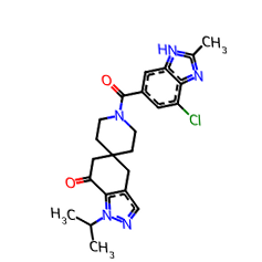 Cc1nc2c(Cl)cc(C(=O)N3CCC4(CC3)CC(=O)c3c(cnn3C(C)C)C4)cc2[nH]1